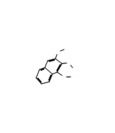 COc1cc2c[c]ccc2c(OC)c1OC